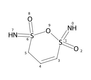 N=S1(=O)C=CCS(=N)(=O)O1